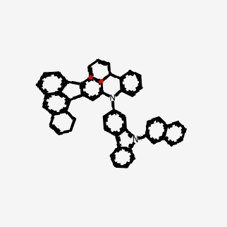 C1=CCC(c2ccccc2N(c2ccc3c(c2)-c2c4c(cc5cccc-3c25)C=CCC4)c2ccc3c4ccccc4n(-c4ccc5ccccc5c4)c3c2)C=C1